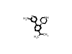 CC(C)c1ccc(-c2ccnc(N)c2)c(N2CCNCC2)c1